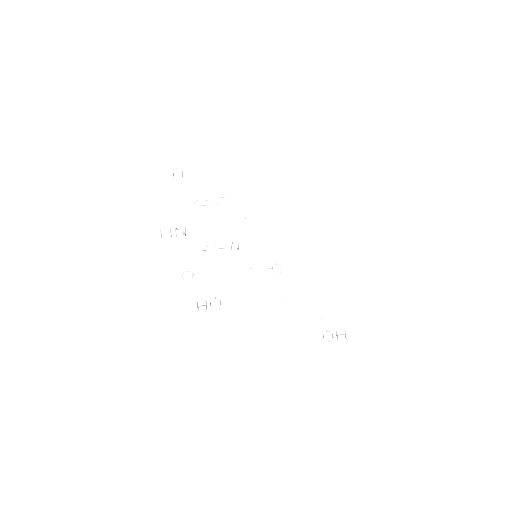 O=c1ccn(C2OC(CO)CC2O)c(=O)[nH]1